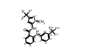 Cn1nc(C(F)(F)F)cc1NC(=O)c1ccccc1Nc1cccc(C(F)(F)F)c1